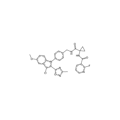 COc1ccc2c(c1)c(Cl)c(-c1nc(C)no1)n2-c1ccc(CNC(=O)C2(NC(=O)c3cccnc3F)CC2)cc1